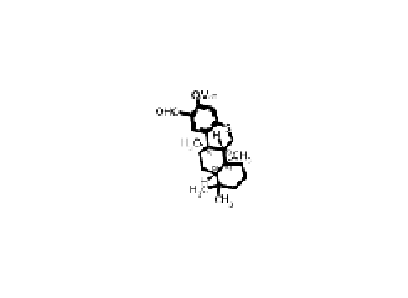 COc1cc2c(cc1C=O)[C@]1(C)CC[C@H]3C(C)(C)CCC[C@]3(C)[C@H]1CS2